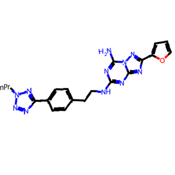 CCCn1nnc(-c2ccc(CCNc3nc(N)n4nc(-c5ccco5)nc4n3)cc2)n1